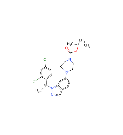 C[C@H](c1ccc(Cl)cc1Cl)n1ncc2ccc(N3CCN(C(=O)OC(C)(C)C)CC3)cc21